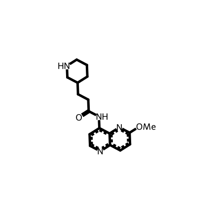 COc1ccc2nccc(NC(=O)CCC3CCCNC3)c2n1